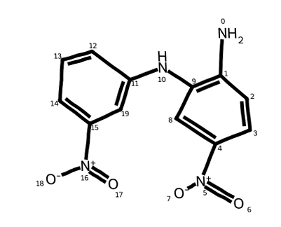 Nc1ccc([N+](=O)[O-])cc1Nc1cccc([N+](=O)[O-])c1